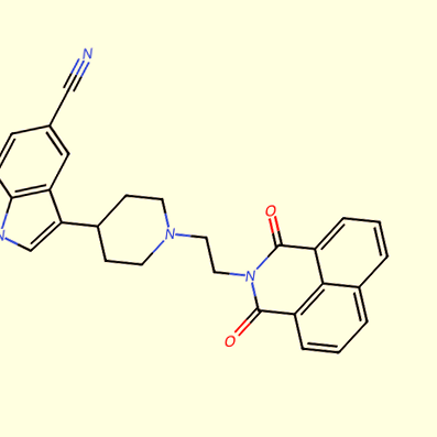 N#Cc1ccc2[nH]cc(C3CCN(CCN4C(=O)c5cccc6cccc(c56)C4=O)CC3)c2c1